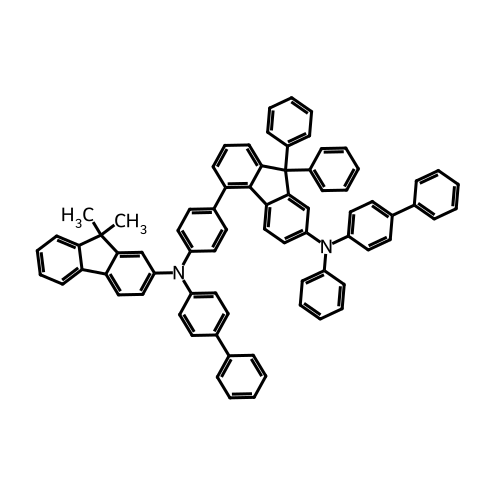 CC1(C)c2ccccc2-c2ccc(N(c3ccc(-c4ccccc4)cc3)c3ccc(-c4cccc5c4-c4ccc(N(c6ccccc6)c6ccc(-c7ccccc7)cc6)cc4C5(c4ccccc4)c4ccccc4)cc3)cc21